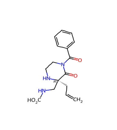 C=CC[C@]1(CNC(=O)O)NCCN(C(=O)c2ccccc2)C1=O